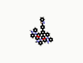 CN1c2ccccc2N(c2cccc(-c3cc(-c4ccc(-c5nc6ccccc6s5)cc4)cc(-c4cccc(N5c6ccccc6N(C)c6ccccc65)c4)c3-c3cccc(N4c5ccccc5N(C)c5ccccc54)c3)c2)c2ccccc21